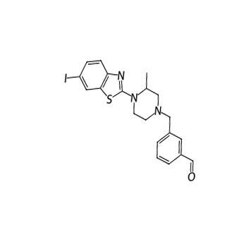 CC1CN(Cc2cccc(C=O)c2)CCN1c1nc2ccc(I)cc2s1